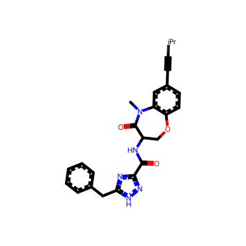 CC(C)C#Cc1ccc2c(c1)N(C)C(=O)C(NC(=O)c1n[nH]c(Cc3ccccc3)n1)CO2